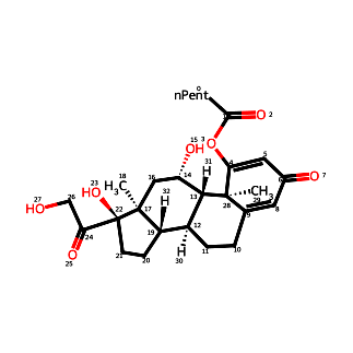 CCCCCC(=O)OC1=CC(=O)C=C2CC[C@@H]3[C@H]([C@@H](O)C[C@@]4(C)[C@H]3CC[C@]4(O)C(=O)CO)[C@]21C